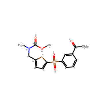 COC(=O)c1cccc(S(=O)(=O)c2ccc(CN(C)C(=O)OC(C)(C)C)s2)c1